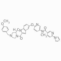 COc1ccc(CN2CCN(C(=O)c3cc4cc(Oc5ccc(N(C)C(=O)c6ccc(-n7cccc7)nc6)cn5)ccc4n3C)CC2)cc1